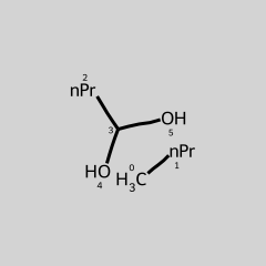 CCCC.CCCC(O)O